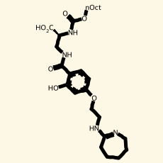 CCCCCCCCOC(=O)N[C@@H](CNC(=O)c1ccc(OCCNC2=NCCCCC2)cc1O)C(=O)O